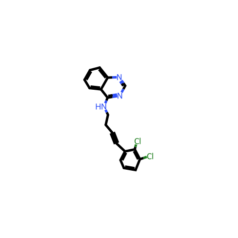 Clc1cccc(C#CCCNc2ncnc3ccccc23)c1Cl